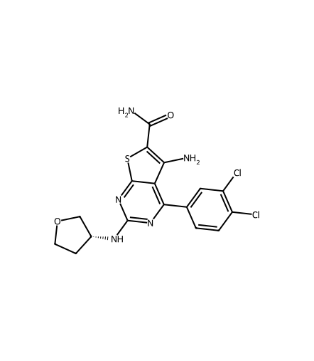 NC(=O)c1sc2nc(N[C@@H]3CCOC3)nc(-c3ccc(Cl)c(Cl)c3)c2c1N